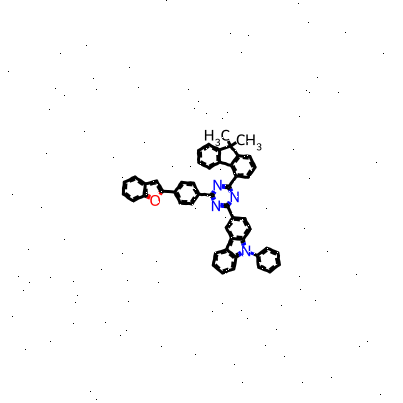 CC1(C)c2ccccc2-c2c(-c3nc(-c4ccc(-c5cc6ccccc6o5)cc4)nc(-c4ccc5c(c4)c4ccccc4n5-c4ccccc4)n3)cccc21